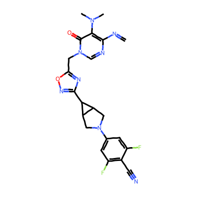 C=Nc1ncn(Cc2nc(C3C4CN(c5cc(F)c(C#N)c(F)c5)CC43)no2)c(=O)c1N(C)C